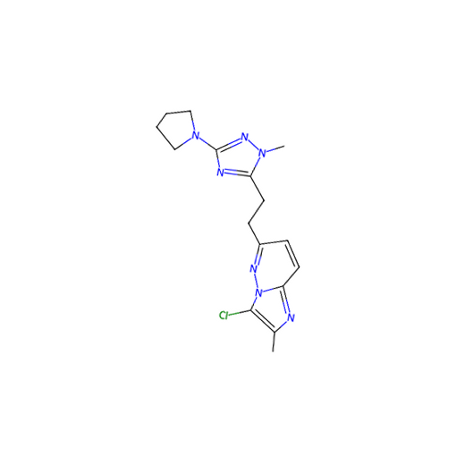 Cc1nc2ccc(CCc3nc(N4CCCC4)nn3C)nn2c1Cl